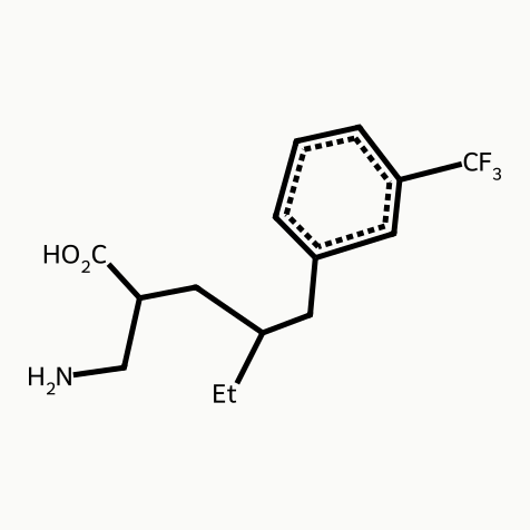 CCC(Cc1cccc(C(F)(F)F)c1)CC(CN)C(=O)O